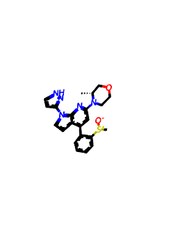 C[C@@H]1COCCN1c1cc(-c2ccccc2[S+](C)[O-])c2ccn(-c3cc[nH]n3)c2n1